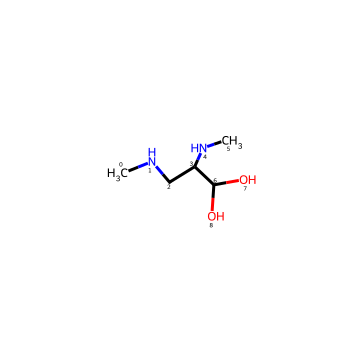 CNCC(NC)C(O)O